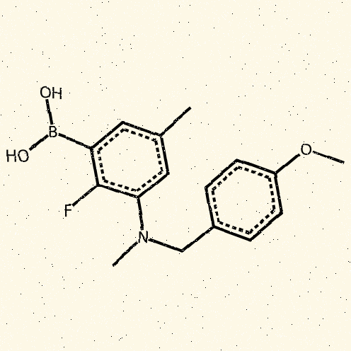 COc1ccc(CN(C)c2cc(C)cc(B(O)O)c2F)cc1